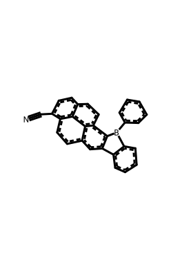 N#Cc1ccc2ccc3c4c(cc5ccc1c2c53)-c1ccccc1B4c1ccccc1